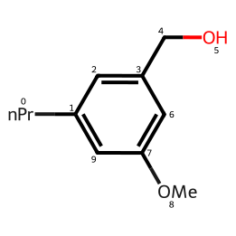 CCCc1cc(CO)cc(OC)c1